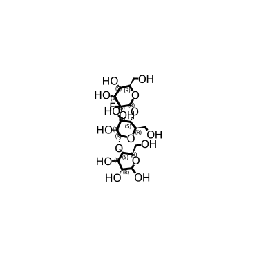 OC[C@H]1O[C@H](O[C@H]2[C@H](O)[C@@H](O)[C@@H](O[C@H]3[C@H](O)[C@@H](O)C(O)O[C@@H]3CO)O[C@@H]2CO)[C@@](O)(F)[C@@H](O)[C@@H]1O